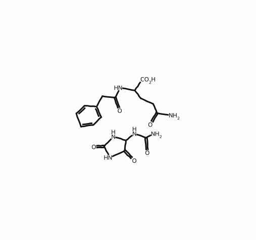 NC(=O)CCC(NC(=O)Cc1ccccc1)C(=O)O.NC(=O)NC1NC(=O)NC1=O